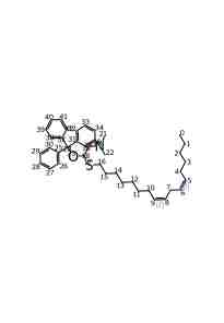 CCCCC/C=C\C/C=C\CCCCCCCSC(CN(C)C)OC(c1ccccc1)(c1ccccc1)c1ccccc1